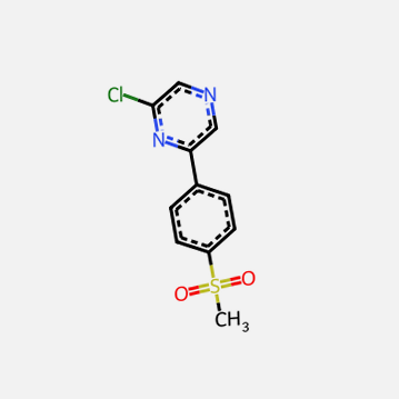 CS(=O)(=O)c1ccc(-c2cncc(Cl)n2)cc1